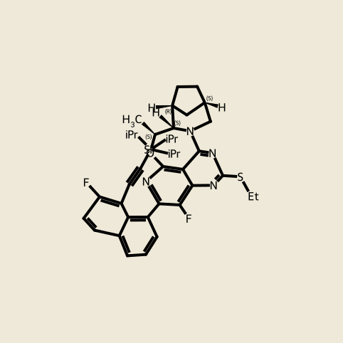 CCSc1nc2c3c(nc(-c4cccc5ccc(F)c(C#C[Si](C(C)C)(C(C)C)C(C)C)c45)c(F)c3n1)O[C@@H](C)[C@@H]1[C@@H]3CC[C@@H](C3)CN21